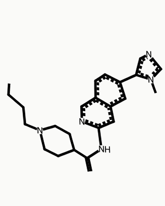 C=C(Nc1cc2cc(-c3cncn3C)ccc2cn1)C1CCN(CCCC)CC1